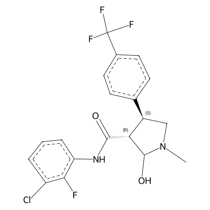 CN1C[C@H](c2ccc(C(F)(F)F)cc2)[C@@H](C(=O)Nc2cccc(Cl)c2F)C1O